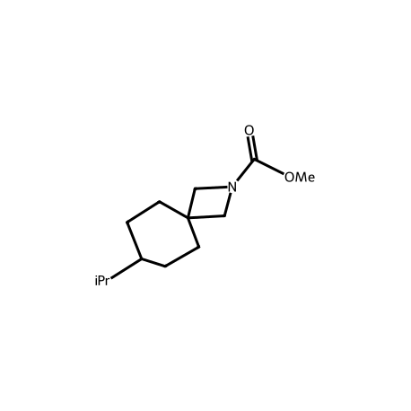 COC(=O)N1CC2(CCC(C(C)C)CC2)C1